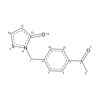 CC(=O)c1ccc(Cn2sccc2=O)cc1